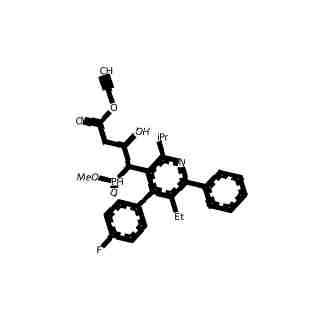 C#COC(=O)CC(O)C(c1c(C(C)C)nc(-c2ccccc2)c(CC)c1-c1ccc(F)cc1)[PH](=O)OC